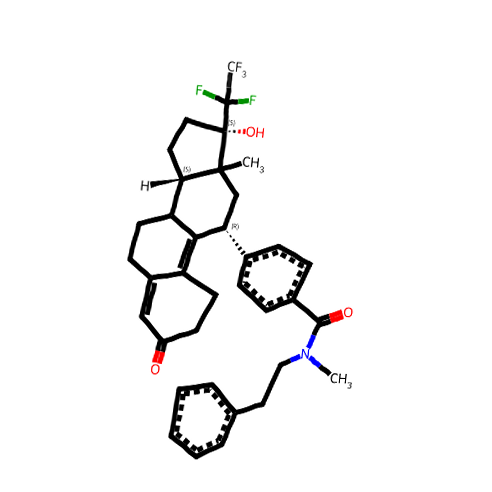 CN(CCc1ccccc1)C(=O)c1ccc([C@H]2CC3(C)[C@@H](CC[C@@]3(O)C(F)(F)C(F)(F)F)C3CCC4=CC(=O)CCC4=C32)cc1